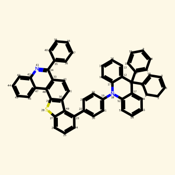 C1=CCCC(C2(c3ccccc3)c3ccccc3N(c3ccc(-c4cccc5sc6c(ccc7c(-c8ccccc8)nc8ccccc8c76)c45)cc3)c3ccccc32)=C1